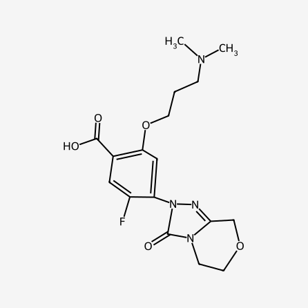 CN(C)CCCOc1cc(-n2nc3n(c2=O)CCOC3)c(F)cc1C(=O)O